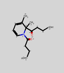 CCCCCCCCCCCCC(=O)N1C=CC=C(C)C1(C)C(=O)CCCCCCCCCCCC